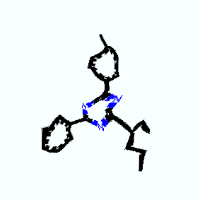 C=C/C=C(\C=C)c1nc(-c2ccccc2)nc(-c2ccc(C)cc2)n1